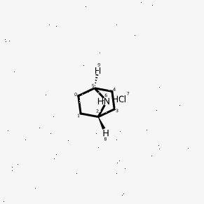 C1C[C@H]2CC[C@H]1N2.Cl